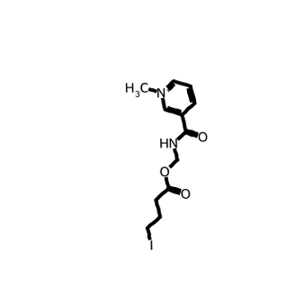 C[n+]1cccc(C(=O)NCOC(=O)CCCI)c1